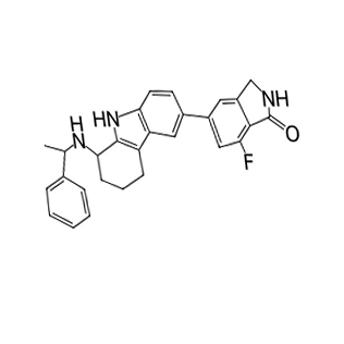 CC(NC1CCCc2c1[nH]c1ccc(-c3cc(F)c4c(c3)CNC4=O)cc21)c1ccccc1